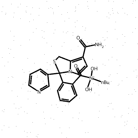 CCCC[N+](O)(O)C(=O)c1ccccc1C1(c2cccnc2)SCc2c(C(N)=O)ccn21